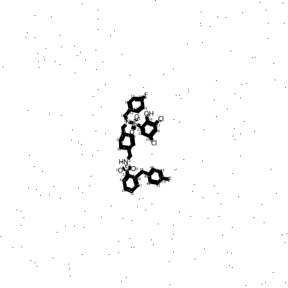 O=S(=O)(NCc1ccc(CN(Cc2ccc(F)cc2)S(=O)(=O)c2cc(Cl)cc(Cl)c2O)cc1)c1ccccc1Cc1ccc(F)cc1